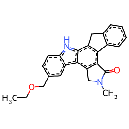 CCOCc1ccc2[nH]c3c4c(c5c(c3c2c1)CN(C)C5=O)-c1ccccc1C4